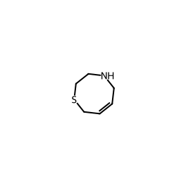 C1=CCSCCNC1